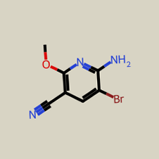 COc1nc(N)c(Br)cc1C#N